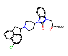 CNC(=O)Cn1c(=O)n(C2CCN(C3Cc4cccc5c(Cl)ccc3c45)CC2)c2ccccc21